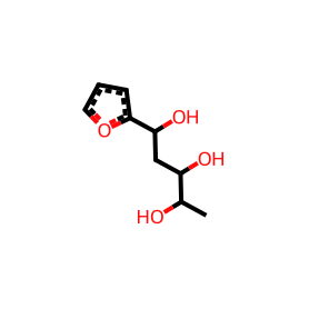 CC(O)C(O)CC(O)c1ccco1